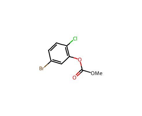 COC(=O)Oc1cc(Br)ccc1Cl